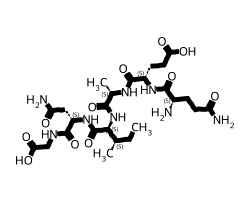 CC[C@H](C)[C@H](NC(=O)[C@H](C)NC(=O)[C@H](CCC(=O)O)NC(=O)[C@@H](N)CCC(N)=O)C(=O)N[C@@H](CC(N)=O)C(=O)NCC(=O)O